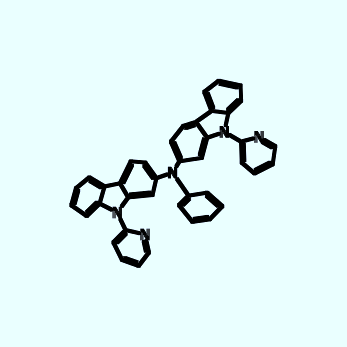 c1ccc(N(c2ccc3c4ccccc4n(-c4ccccn4)c3c2)c2ccc3c4ccccc4n(-c4ccccn4)c3c2)cc1